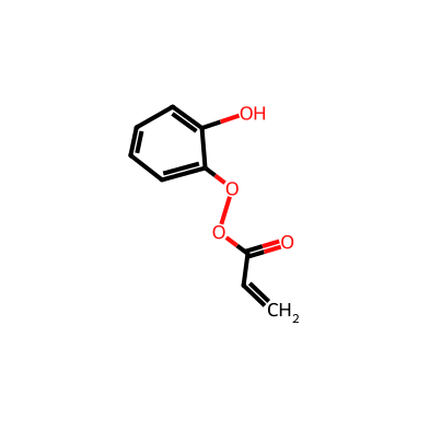 C=CC(=O)OOc1ccccc1O